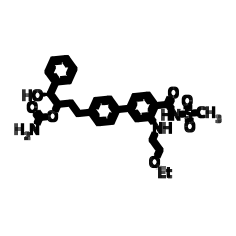 CCOCCNc1cc(-c2ccc(CCC(OC(N)=O)[C@H](O)c3ccccc3)cc2)ccc1C(=O)NS(C)(=O)=O